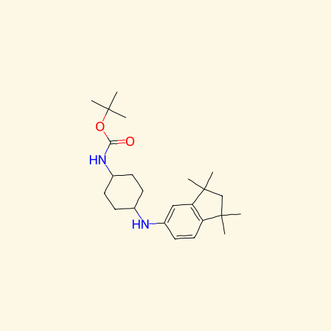 CC(C)(C)OC(=O)NC1CCC(Nc2ccc3c(c2)C(C)(C)CC3(C)C)CC1